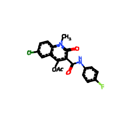 CC(=O)Oc1c(C(=O)Nc2ccc(F)cc2)c(=O)n(C)c2ccc(Cl)cc12